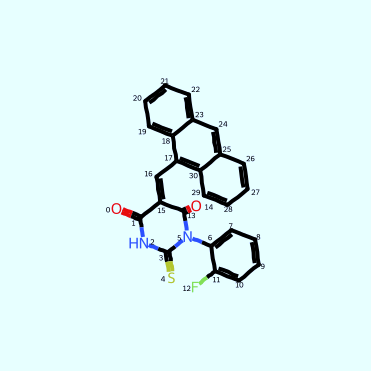 O=C1NC(=S)N(c2ccccc2F)C(=O)/C1=C\c1c2ccccc2cc2ccccc12